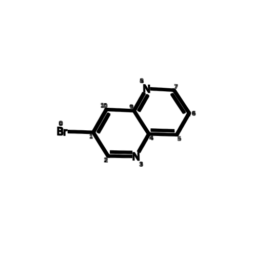 Brc1cnc2c[c]cnc2c1